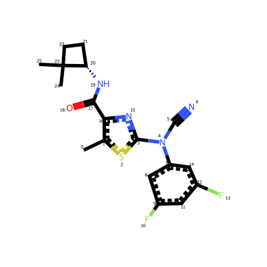 Cc1sc(N(C#N)c2cc(F)cc(F)c2)nc1C(=O)N[C@H]1CCC1(C)C